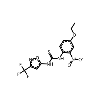 CCOc1ccc(NC(=S)Nc2cc(C(F)(F)F)no2)c([N+](=O)[O-])c1